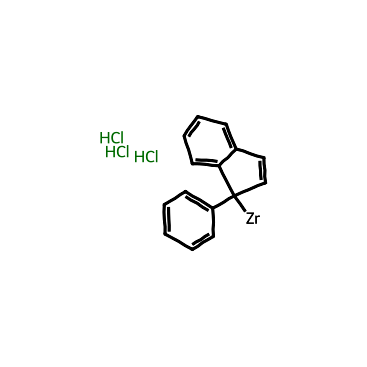 Cl.Cl.Cl.[Zr][C]1(c2ccccc2)C=Cc2ccccc21